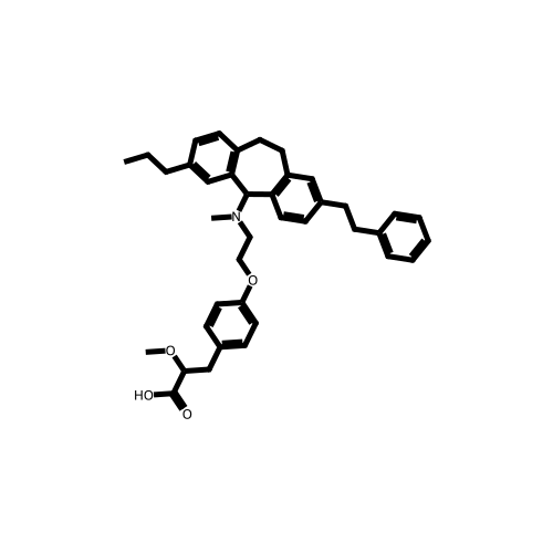 CCCc1ccc2c(c1)C(N(C)CCOc1ccc(CC(OC)C(=O)O)cc1)c1ccc(CCc3ccccc3)cc1CC2